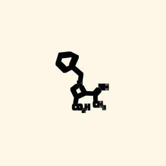 CC(=N)C1C(C(=O)O)CN1Cc1ccccc1